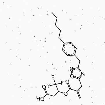 C=C(Cc1nc(Cc2ccc(CCCCC)cc2)no1)C(=O)OC(CC(=O)O)C(F)(F)F